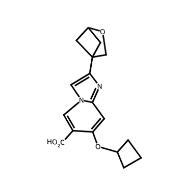 O=C(O)c1cn2cc(C34COC(C3)C4)nc2cc1OC1CCC1